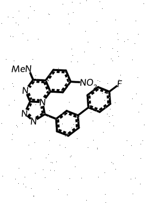 CNc1nc2nnc(-c3cccc(-c4ccc(F)cc4)c3)n2c2cc([N+](=O)[O-])ccc12